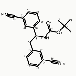 CC(C)(C)OC(=O)NC(Cc1cccc(C#N)c1)c1cccc(C#N)c1